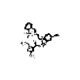 CCn1nc(C)cc1C(=O)NC1=Nc2cc(C#N)ccc2[SH]1CCOCc1c[c]ccc1P(=O)(O)O